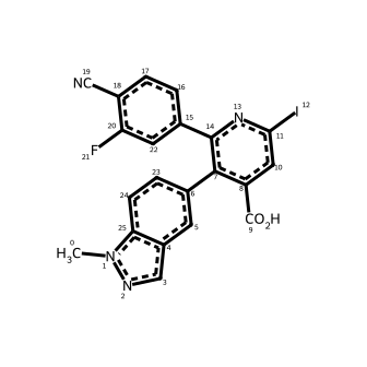 Cn1ncc2cc(-c3c(C(=O)O)cc(I)nc3-c3ccc(C#N)c(F)c3)ccc21